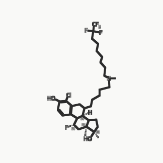 CN(CCCCCCCC(F)(F)C(F)(F)F)CCCCCC1Cc2c(ccc(O)c2Cl)C2[C@@H]1C1CC[C@@](C)(O)[C@@]1(C)C[C@@H]2F